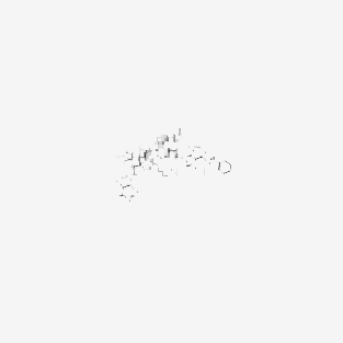 CC(C)(C)[Si](C)(C)O[C@@H]1C(COP(=O)(OCCC#N)O[C@@H]2C(CO)OC(n3cnc4c(=O)[nH]cnc43)[C@@H]2O[Si](C)(C)C(C)(C)C)OC(n2cnc3c(NC(=O)c4ccccc4)ncnc32)[C@@H]1O[PH](=O)O